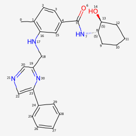 Cc1ccc(C(=O)N[C@H]2CCCC[C@@H]2O)cc1NCc1cncc(-c2ccccc2)n1